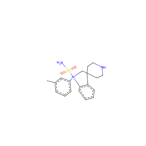 Cc1cccc([N+]2(S(N)(=O)=O)CC3(CCNCC3)c3ccccc32)c1